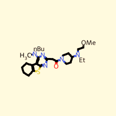 CCCCN(C)c1nc(CC(=O)N2CCC(N(CC)CCOC)CC2)nc2sc3c(c12)CCCC3